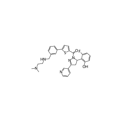 CN(C)CCNCc1cccc(-c2ccc(C(=O)N3N=C(c4cccnc4)CC3c3c(O)cccc3F)s2)c1